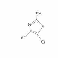 Sc1nc(Br)c(Cl)s1